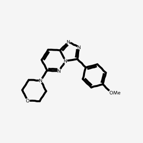 COc1ccc(-c2nnc3ccc(N4CCOCC4)nn23)cc1